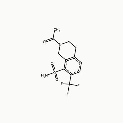 CC(=O)N1CCc2ccc(C(F)(F)F)c(S(N)(=O)=O)c2C1